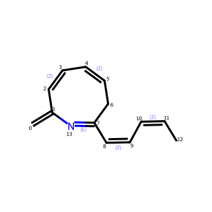 C=C1/C=C\C=C/CC(/C=C\C=C/C)=N\1